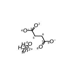 O.O.O=C([O-])CCC(=O)[O-].[Zn+2]